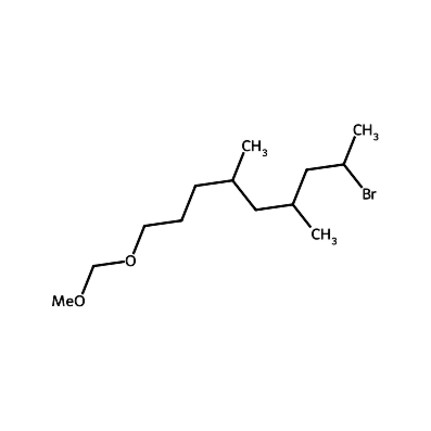 COCOCCCC(C)CC(C)CC(C)Br